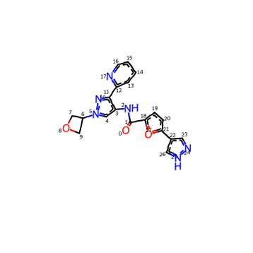 O=C(Nc1cn(C2COC2)nc1-c1ccccn1)c1ccc(-c2cn[nH]c2)o1